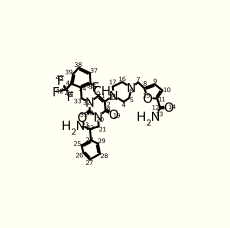 Cc1c(N2CCN(Cc3ccc(C(N)=O)o3)CC2)c(=O)n(CC(N)c2ccccc2)c(=O)n1Cc1c(F)cccc1C(F)(F)F